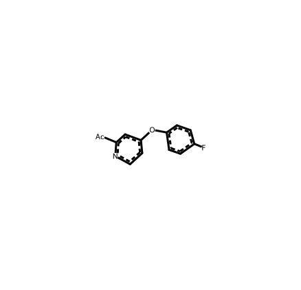 CC(=O)c1cc(Oc2ccc(F)cc2)ccn1